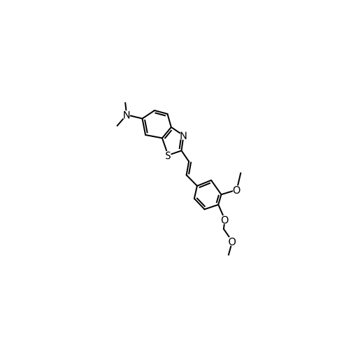 COCOc1ccc(C=Cc2nc3ccc(N(C)C)cc3s2)cc1OC